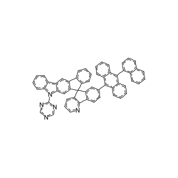 c1ccc2c(c1)-c1cc3c4ccccc4n(-c4ncncn4)c3cc1C21c2cc(-c3c4ccccc4c(-c4cccc5ccccc45)c4ccccc34)ccc2-c2ncccc21